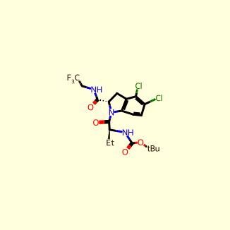 CC[C@H](NC(=O)OC(C)(C)C)C(=O)N1c2ccc(Cl)c(Cl)c2C[C@H]1C(=O)NCC(F)(F)F